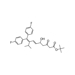 CC(C)C(C=CC(O)CC(=O)CC(=O)OC(C)(C)C)=C(c1ccc(F)cc1)c1ccc(F)cc1